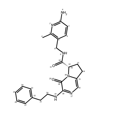 Cc1nc(N)ccc1CNC(=O)[C@@H]1CCc2cnc(NCCc3ccccc3)c(=O)n21